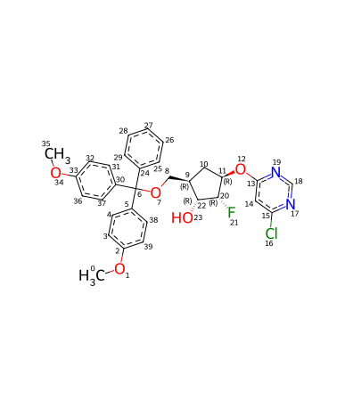 COc1ccc(C(OC[C@H]2C[C@@H](Oc3cc(Cl)ncn3)[C@H](F)[C@@H]2O)(c2ccccc2)c2ccc(OC)cc2)cc1